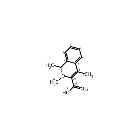 CCc1ccccc1C(C)=C(OC)C(=O)O